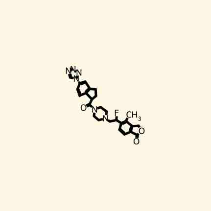 Cc1c(C(F)CN2CCN(C(=O)C3CCc4cc(-n5cnnn5)ccc43)CC2)ccc2c1COC2=O